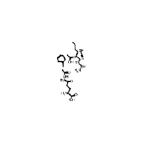 CC(=O)O.CC(=O)O.CCCCCCNNN.Cc1ccccc1.N#CS.NC(CCC(=O)O)C(=O)O